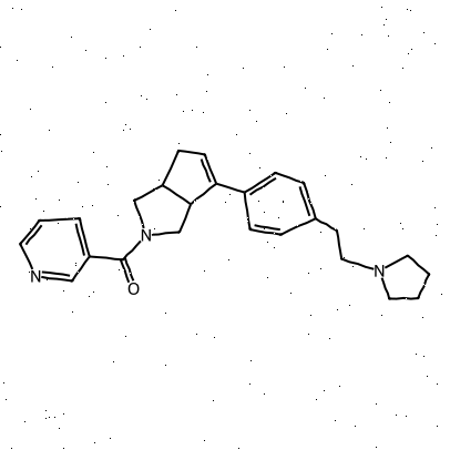 O=C(c1cccnc1)N1CC2CC=C(c3ccc(CCN4CCCC4)cc3)C2C1